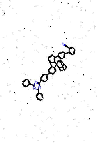 N#Cc1ccccc1-c1ccc(-c2cccc3c2C2(c4ccc(-c5ccc(-c6nc(-c7ccccc7)nc(-c7ccccc7)n6)cc5)cc4-3)C3CC4CC(C3)CC2C4)cc1